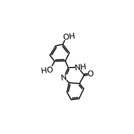 O=c1[nH]c(-c2cc(O)ccc2O)nc2ccccc12